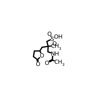 CC(=O)NCC(C)(CC1CCC(=O)O1)CS(=O)(=O)O